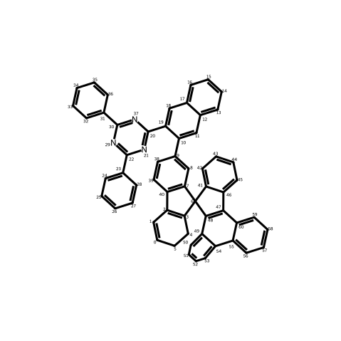 C1=CC2=C(CC1)C1(c3cc(-c4cc5ccccc5cc4-c4nc(-c5ccccc5)nc(-c5ccccc5)n4)ccc32)c2ccccc2-c2c1c1ccccc1c1ccccc21